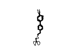 COC(=O)CSCCc1ccc(-c2ccc(C#N)cc2)cc1